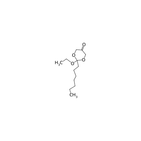 CCCCCCCC1(OCC)OCC(=O)CO1